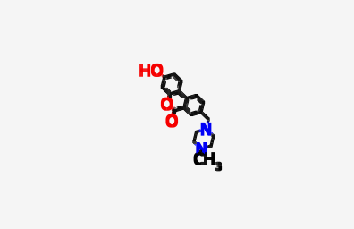 CN1CCN(Cc2ccc3c(c2)c(=O)oc2cc(O)ccc23)CC1